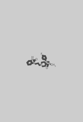 CN1CN(c2ccc(F)cc2)C2(CCN(CCCn3c(=O)[nH]c4ccccc43)CC2)C1=O